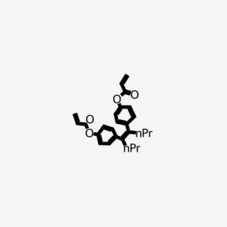 C=CC(=O)Oc1ccc(C(CCC)=C(CCC)c2ccc(OC(=O)C=C)cc2)cc1